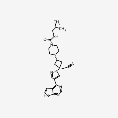 CC(C)CNC(=O)N1CCN([C@H]2C[C@](CC#N)(n3cc(-c4ncnc5[nH]ccc45)cn3)C2)CC1